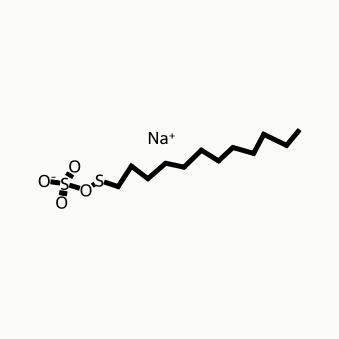 CCCCCCCCCCCCSOS(=O)(=O)[O-].[Na+]